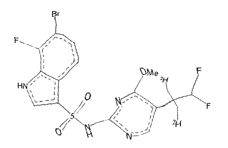 [2H]C([2H])(c1cnc(NS(=O)(=O)c2c[nH]c3c(F)c(Br)ccc23)nc1OC)C(F)F